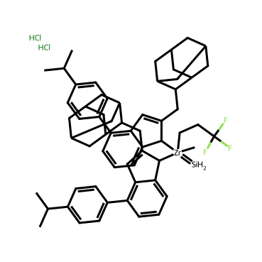 CC(C)c1ccc(-c2cccc3c2C=C(CC2C4CC5CC(C4)CC2C5)[CH]3[Zr]([CH3])(=[SiH2])([CH2]CC(F)(F)F)[CH]2C(CC3C4CC5CC(C4)CC3C5)=Cc3c(-c4ccc(C(C)C)cc4)cccc32)cc1.Cl.Cl